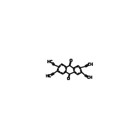 C#Cc1cc2c(cc1C#C)C(=O)c1cc(C#C)c(C#C)cc1C2=O